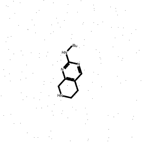 CCC(C)Nc1ncc2c(n1)CNCC2